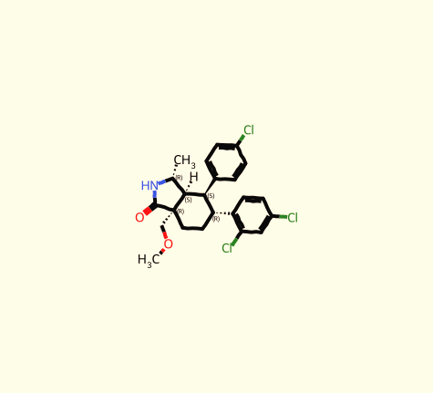 COC[C@@]12CC[C@@H](c3ccc(Cl)cc3Cl)[C@H](c3ccc(Cl)cc3)[C@@H]1[C@@H](C)NC2=O